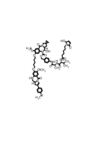 COc1ccc(C2=CN3C(=O)c4cc(OC)c(OCCCCCOc5cc6c(cc5OC)C(=O)N5CC7(CC7)C[C@H]5[C@@H](O)N6C(=O)OCc5ccc(NC(=O)[C@H](C)NC(=O)[C@@H](NC(=O)CCCCCN6C(=O)C=CC6O)C(C)C)cc5)cc4NC[C@@H]3C2)cc1